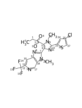 CCS(=O)(=O)c1c(-c2nc3cc(C(F)(F)F)ncc3n2C)nc(-c2cc(Cl)cs2)n1C